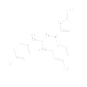 Cc1nc(C(=O)/N=C(/Nc2ccc(F)cc2)Nc2cccc(C(F)(F)F)c2)cs1